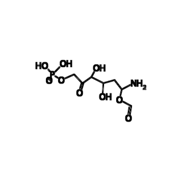 NC(CC(O)C(O)C(=O)COP(=O)(O)O)OC=O